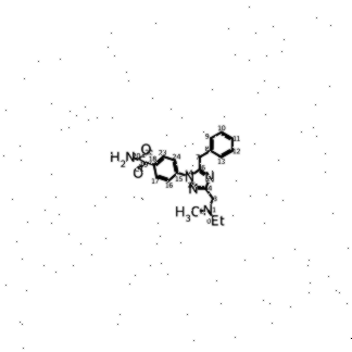 CCN(C)Cc1nc(Cc2ccccc2)n(-c2ccc(S(N)(=O)=O)cc2)n1